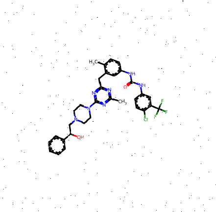 Cc1nc(Cc2cc(NC(=O)Nc3ccc(Cl)c(C(F)(F)F)c3)ccc2C)nc(N2CCN(CC(O)c3ccccc3)CC2)n1